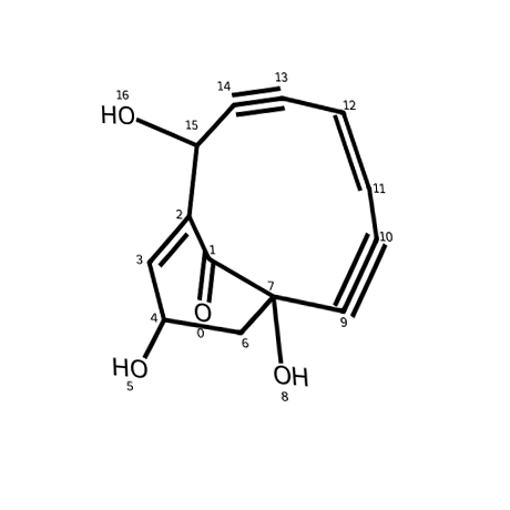 O=C1C2=CC(O)CC1(O)C#CC=CC#CC2O